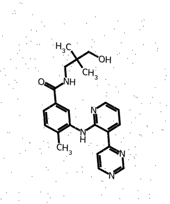 Cc1ccc(C(=O)NCC(C)(C)CO)cc1Nc1ncccc1-c1ccncn1